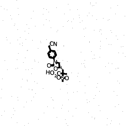 CC(C[C@H]1CN(c2ccc(CC#N)cc2)C(=O)O1)(C(=O)O)S(C)(=O)=O